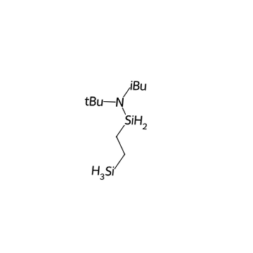 CCC(C)N([SiH2]CC[SiH3])C(C)(C)C